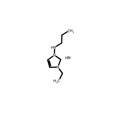 Br.CCCNN1C=CN(CC)C1